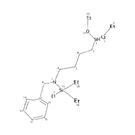 CCO[SiH](CCCCN(Cc1ccccc1)[Si](CC)(CC)CC)OCC